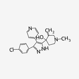 C=C1CN(C)CCC1(O)c1[nH]nc(-c2ccc(Cl)cc2)c1-c1ccncc1